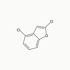 Clc1cc2c(Cl)cccc2o1